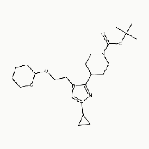 CC(C)(C)OC(=O)N1CCC(c2nc(C3CC3)cn2CCOC2CCCCO2)CC1